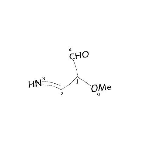 COC(C=N)C=O